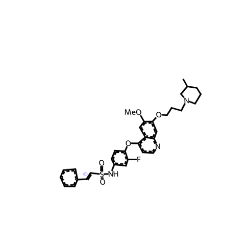 COc1cc2c(Oc3ccc(NS(=O)(=O)/C=C/c4ccccc4)cc3F)ccnc2cc1OCCCN1CCCC(C)C1